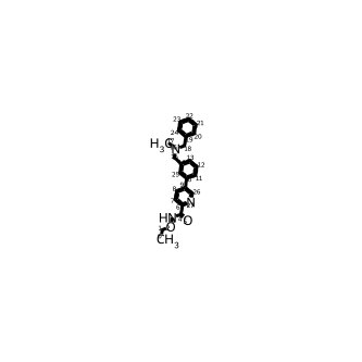 CCONC(=O)c1ccc(-c2cccc(CN(C)Cc3ccccc3)c2)cn1